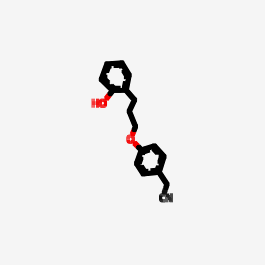 N#CCc1ccc(OCCCc2ccccc2O)cc1